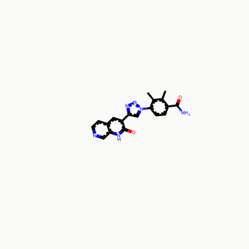 Cc1c(C(N)=O)ccc(-n2cc(-c3cc4ccncc4[nH]c3=O)nn2)c1C